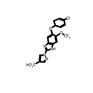 O=C(O)c1cnn(-c2nc3cc(OC4C=CC(Cl)=CC4)c(OC(F)(F)F)cc3[nH]2)c1